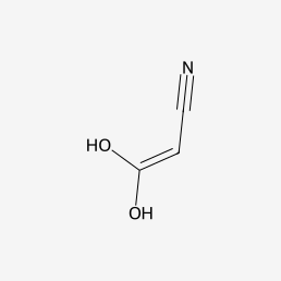 N#CC=C(O)O